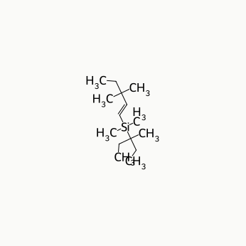 CCC(C)(C)C=C[Si](C)(C)C(C)(CC)CC